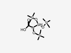 C[Si](C)(C)ON(C(=O)O)[SiH](O[Si](C)(C)C)O[Si](C)(C)C